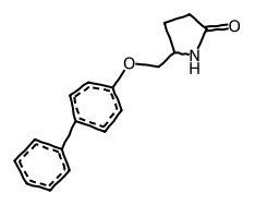 O=C1CCC(COc2ccc(-c3ccccc3)cc2)N1